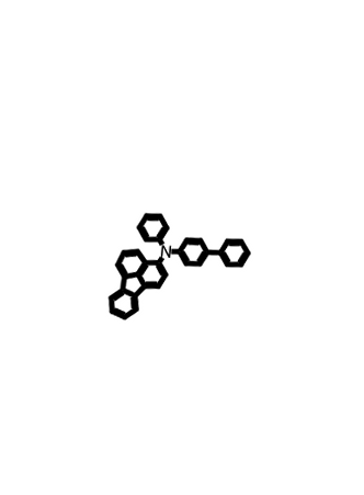 c1ccc(-c2ccc(N(c3ccccc3)c3ccc4c5c(cccc35)-c3ccccc3-4)cc2)cc1